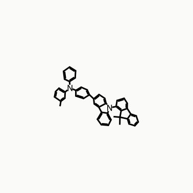 Cc1cccc(N(c2ccccc2)c2ccc(-c3ccc4c(c3)c3ccccc3n4-c3cccc4c3C(C)(C)c3ccccc3-4)cc2)c1